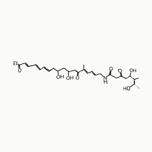 CCC(=O)/C=C/C=C/C=C/CC(O)CC(O)CC(=O)/C(C)=C/C=C/CNC(=O)CC(=O)CC(O)C(C)[C@H](C)O